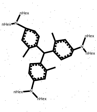 CCCCCCN(CCCCCC)c1ccc(C(c2ccc(N(CCCCCC)CCCCCC)cc2C)c2ccc(N(CCCCCC)CCCCCC)cc2C)c(C)c1